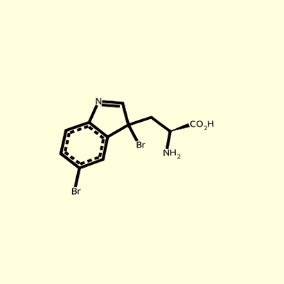 N[C@@H](CC1(Br)C=Nc2ccc(Br)cc21)C(=O)O